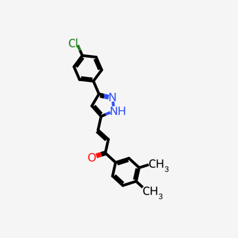 Cc1ccc(C(=O)/C=C/c2cc(-c3ccc(Cl)cc3)n[nH]2)cc1C